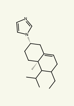 CCC1CC=C2C[C@@H](n3ccnc3)CC[C@]2(C)C1C(C)C